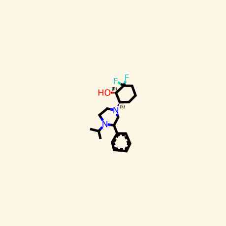 CC(C)N1CCN([C@H]2CCCC(F)(F)[C@@H]2O)CC1c1ccccc1